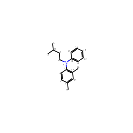 Cc1ccc(N(CCC(C)C)c2ccccc2)c(C)c1